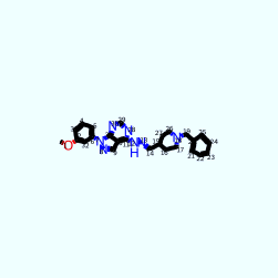 COc1cccc(-n2ncc3c(N/N=C/C4CCN(Cc5ccccc5)CC4)ncnc32)c1